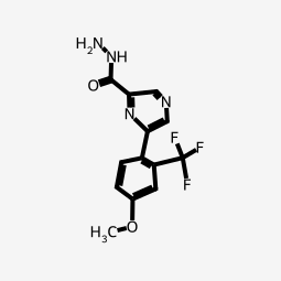 COc1ccc(-c2cncc(C(=O)NN)n2)c(C(F)(F)F)c1